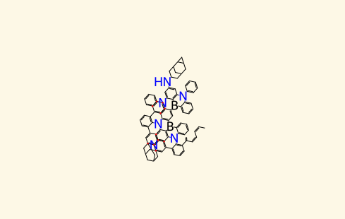 C=C(/C=C\C=C/C)c1cccc(-c2ccccc2)c1N1c2ccccc2B2c3cc4c(cc3N(c3c(-c5ccccc5)cccc3-c3ccccc3)c3cc(N5C6CC7CC(C6)CC5C7)cc1c32)N(c1ccccc1)c1cc(NC2CC3CC(C2)C2CC2C3)cc2c1B4c1ccccc1N2c1ccccc1